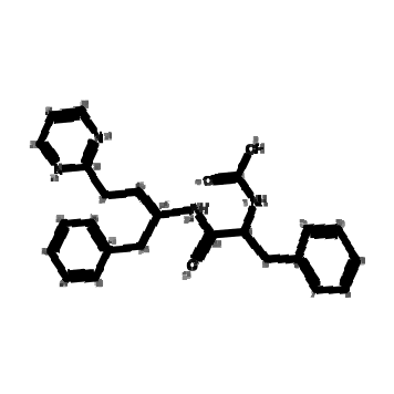 O=C(O)NC(Cc1ccccc1)C(=O)NC(CCc1ncccn1)Cc1ccccc1